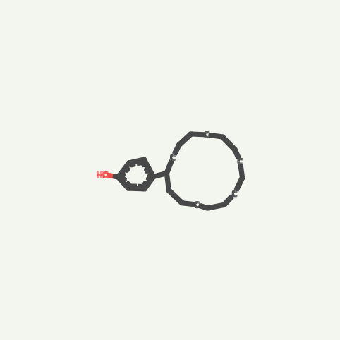 Oc1ccc(C2CCCCCCCCCCCCCC2)cc1